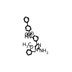 COc1ccccc1Cn1cc(-c2cccc(NS(=O)(=O)c3ccc(-c4ccccc4)cc3)c2)nc1N